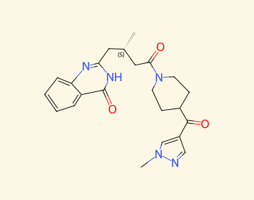 C[C@H](CC(=O)N1CCC(C(=O)c2cnn(C)c2)CC1)Cc1nc2ccccc2c(=O)[nH]1